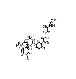 C=C1C=C(c2ccc(C)c(C(=O)CCCCC(=O)NCC(F)(F)F)c2)CC(C2=CC=C(C)CN=C2C(F)(F)F)(C(F)(F)F)O1